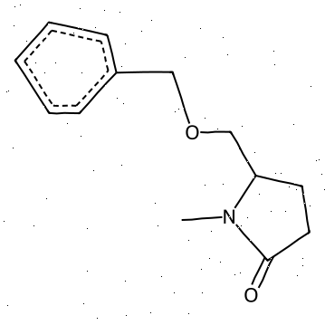 CN1C(=O)CCC1COCc1ccccc1